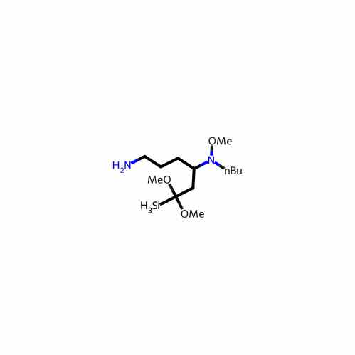 CCCCN(OC)C(CCCN)CC([SiH3])(OC)OC